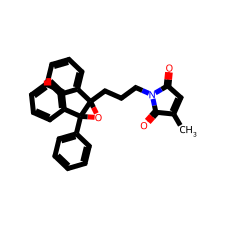 CC1=CC(=O)N(CCCC2(c3ccccc3)OC2(c2ccccc2)c2ccccc2)C1=O